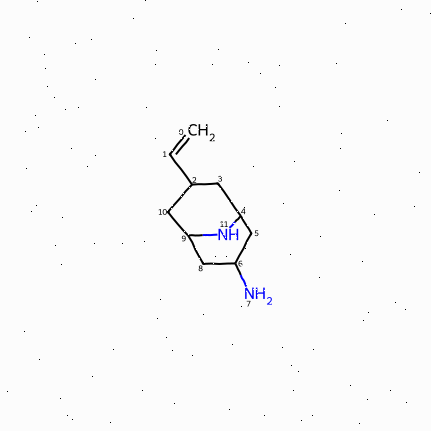 C=CC1CC2CC(N)CC(C1)N2